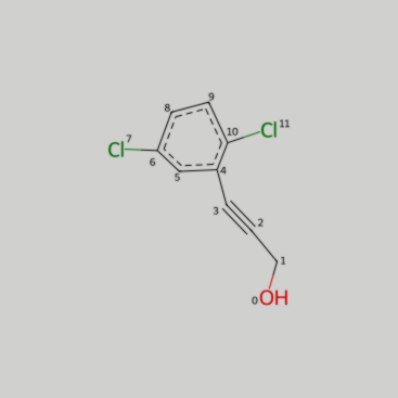 OCC#Cc1cc(Cl)ccc1Cl